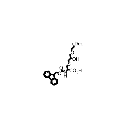 CCCCCCCCCCCCOCC(O)CSCC(NC(=O)OCC1c2ccccc2-c2ccccc21)C(=O)O